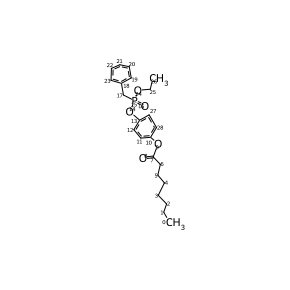 CCCCCCCC(=O)Oc1ccc(OP(=O)(Cc2ccccc2)OCC)cc1